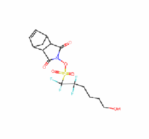 O=C1C2C3C=CC(C3)C2C(=O)N1OS(=O)(=O)C(F)(F)C(F)(F)CCCCO